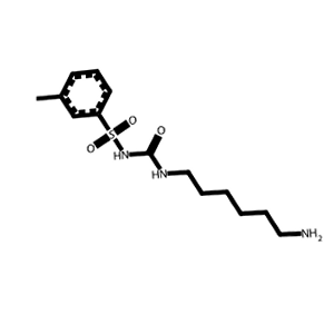 Cc1cccc(S(=O)(=O)NC(=O)NCCCCCCN)c1